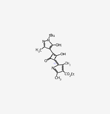 CCOC(=O)C1=C(C)/C(=C2/C(=O)C(c3c(C)nn(C(C)(C)C)c3O)=C2O)N=C1C